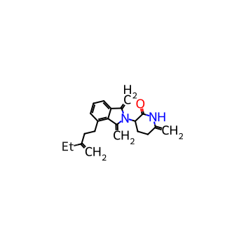 C=C(CC)CCc1cccc2c(=C)n(C3CCC(=C)NC3=O)c(=C)c12